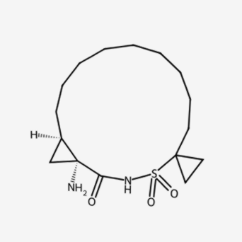 N[C@]12C[C@H]1CCCCCCCCCC1(CC1)S(=O)(=O)NC2=O